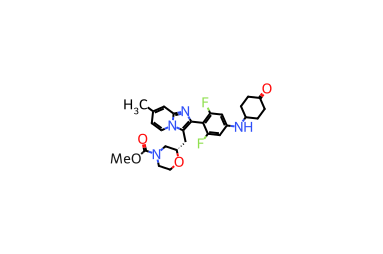 COC(=O)N1CCO[C@@H](Cc2c(-c3c(F)cc(NC4CCC(=O)CC4)cc3F)nc3cc(C)ccn23)C1